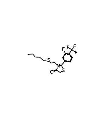 CCCCCSCCN1C(=O)CSC1c1ccc(C(F)(F)F)c(F)c1